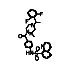 CC(c1c(F)cccc1F)N1CCN(C(=O)c2ccc(NS(=O)(=O)c3cccc4cccnc34)cc2)[C@H](C)C1